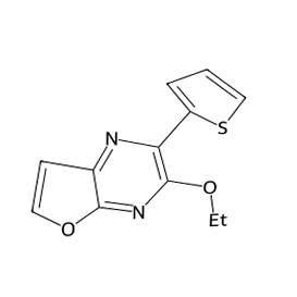 CCOc1nc2occc2nc1-c1cccs1